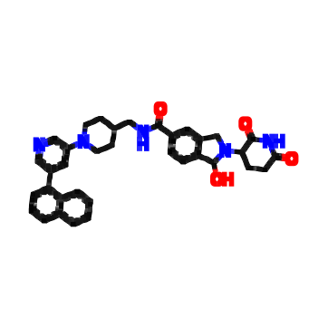 O=C1CCC(N2Cc3cc(C(=O)NCC4CCN(c5cncc(-c6cccc7ccccc67)c5)CC4)ccc3C2O)C(=O)N1